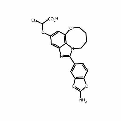 CC[C@H](Oc1cc2c3c(c1)nc(-c1ccc4oc(N)nc4c1)n3CCCCO2)C(=O)O